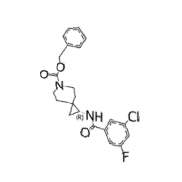 O=C(N[C@@H]1CC12CCN(C(=O)OCc1ccccc1)CC2)c1cc(F)cc(Cl)c1